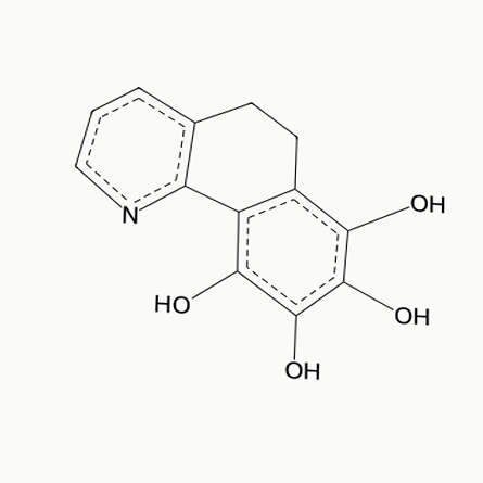 Oc1c(O)c(O)c2c(c1O)CCc1cccnc1-2